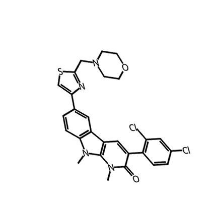 Cn1c(=O)c(-c2ccc(Cl)cc2Cl)cc2c3cc(-c4csc(CN5CCOCC5)n4)ccc3n(C)c21